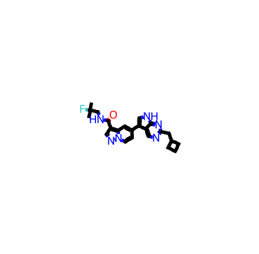 CC(C)(F)CNC(=O)c1cnn2ccc(-c3c[nH]c4nc(CC5CCC5)ncc34)cc12